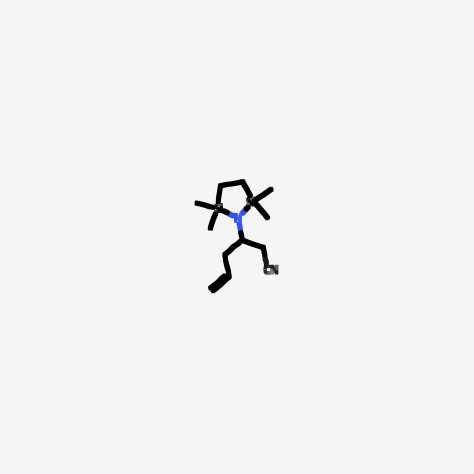 C=CCC(CC#N)N1[Si](C)(C)CC[Si]1(C)C